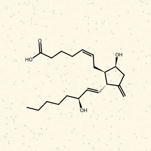 C=C1C[C@H](O)[C@H](C/C=C\CCCC(=O)O)[C@H]1/C=C/[C@@H](O)CCCCC